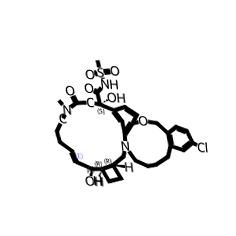 CN1CCC/C=C/[C@H](O)[C@@H]2CC[C@H]2CN2CCCCc3cc(Cl)ccc3COc3ccc(cc32)[C@](O)(C(=O)NS(C)(=O)=O)CC1=O